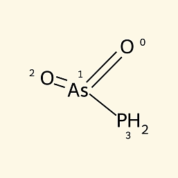 O=[As](=O)P